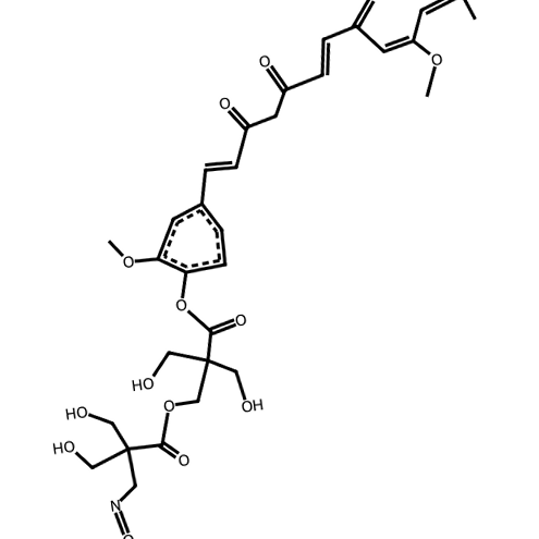 C=C(/C=C/C(=O)CC(=O)/C=C/c1ccc(OC(=O)C(CO)(CO)COC(=O)C(CO)(CO)CN=O)c(OC)c1)/C=C(\C=C/C)OC